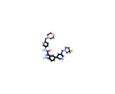 O=C(Nc1ccc(CN2CCOCC2)nc1)c1n[nH]c2ccc(-c3cncc(CN4CCC(F)(F)C4)c3)cc12